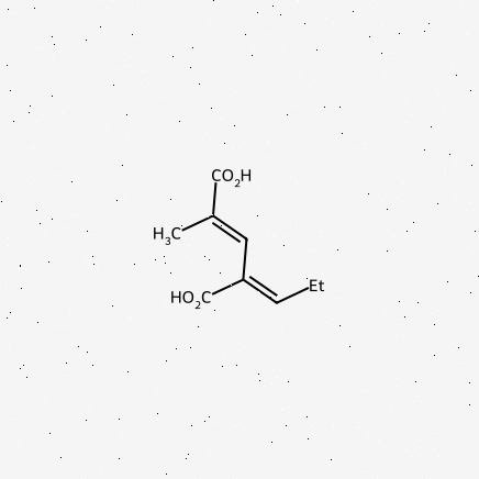 CCC=C(C=C(C)C(=O)O)C(=O)O